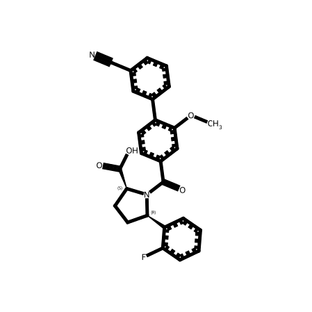 COc1cc(C(=O)N2[C@@H](c3ccccc3F)CC[C@H]2C(=O)O)ccc1-c1cccc(C#N)c1